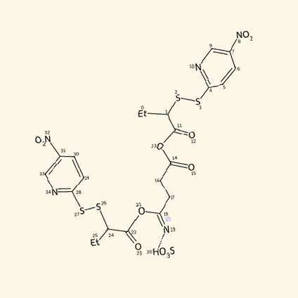 CCC(SSc1ccc([N+](=O)[O-])cn1)C(=O)OC(=O)CC/C(=N/S(=O)(=O)O)OC(=O)C(CC)SSc1ccc([N+](=O)[O-])cn1